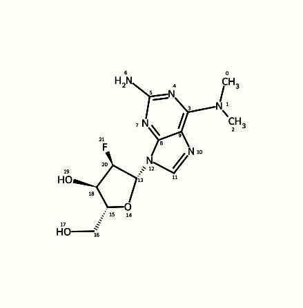 CN(C)c1nc(N)nc2c1ncn2[C@@H]1O[C@H](CO)[C@@H](O)[C@H]1F